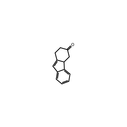 O=C1CCC2=Cc3ccccc3C2C1